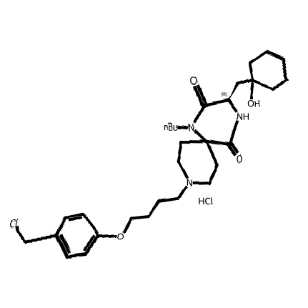 CCCCN1C(=O)[C@@H](CC2(O)CCCCC2)NC(=O)C12CCN(CCCCOc1ccc(CCl)cc1)CC2.Cl